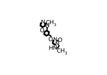 Cc1cc(Oc2ccc(COc3cc4n(c(=O)n3)CC(C)N4)cc2C#N)ccn1